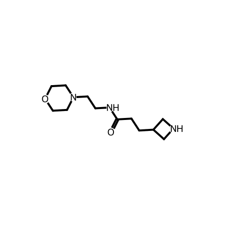 O=C(CCC1CNC1)NCCN1CCOCC1